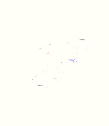 COc1ccc2cc(C(C#N)C(OC(=O)O)C3OC3c3ccccc3)ccc2c1